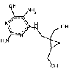 Nc1nc(O)c(N)c(NCC2(CO)CC2CO)n1